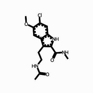 CNC(=O)c1[nH]c2cc(Cl)c(OC)cc2c1CCNC(C)=O